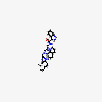 C=C/C=C\c1[nH]c(CN(CCCNC(=O)c2cnnc3ccccc23)C2CCCc3cccnc32)nc1C